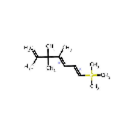 C=C(C)C(C)(C)/C(C)=C/C=C/S(C)(C)C